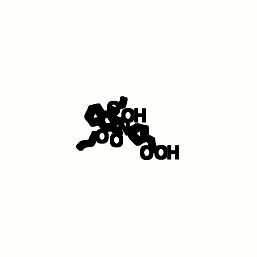 CCCCOc1c2c(c(OCC)c3ccccc13)C(O)N(c1ccc(CC(=O)O)cc1)C2=O